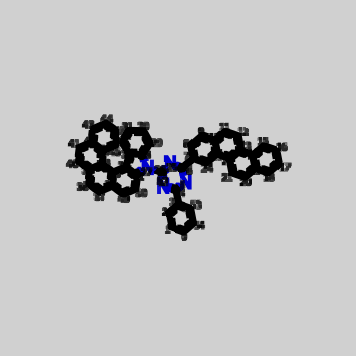 c1ccc(-c2nc(-c3ccc4ccc5c6ccccc6ccc5c4c3)nc(-n3c4ccccc4c4c5c(ccc6ccc7ccccc7c65)ccc43)n2)cc1